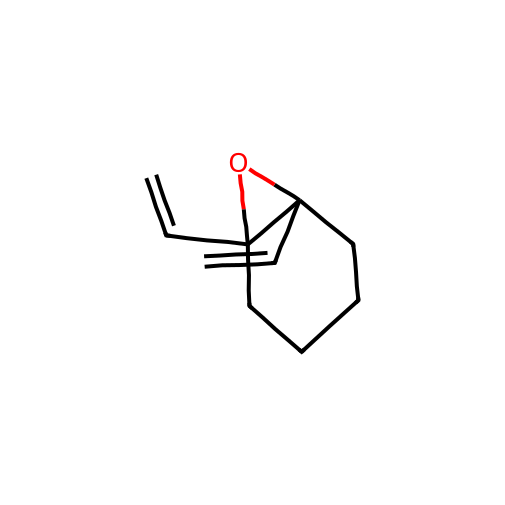 C=CC12CCCCC1(C=C)O2